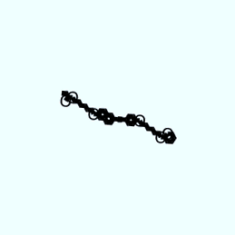 C=CC(=O)OCCCCCCOc1ccc2cc(C#Cc3ccc(OCCCCCCOC4CCCCO4)cc3)ccc2c1